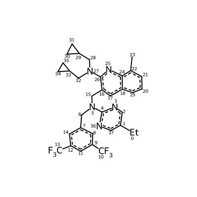 CCc1cnc(N(Cc2cc(C(F)(F)F)cc(C(F)(F)F)c2)Cc2cc3cccc(C)c3nc2N(CC2CC2)CC2CC2)nc1